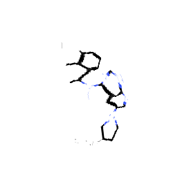 CC(=O)N[C@@H]1CCN(c2cnc3ncnc(NC(C)c4cccc(C(F)(F)F)c4C)c3c2)C1